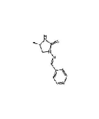 CC1CN(N=Cc2ccccc2)C(=S)N1